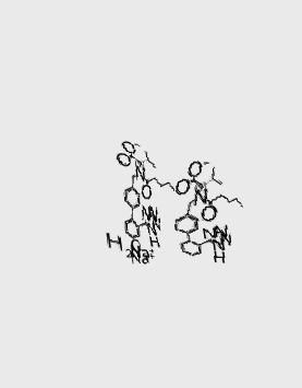 CCCCC(=O)N(Cc1ccc(-c2ccccc2-c2nnn[nH]2)cc1)[C@H](C(=O)[O-])C(C)C.CCCCC(=O)N(Cc1ccc(-c2ccccc2-c2nnn[nH]2)cc1)[C@H](C(=O)[O-])C(C)C.O.[Na+].[Na+]